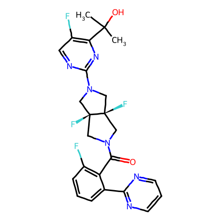 CC(C)(O)c1nc(N2C[C@]3(F)CN(C(=O)c4c(F)cccc4-c4ncccn4)C[C@]3(F)C2)ncc1F